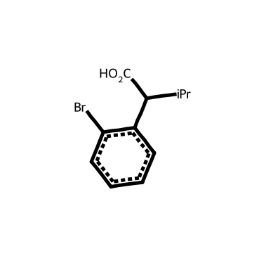 CC(C)C(C(=O)O)c1ccccc1Br